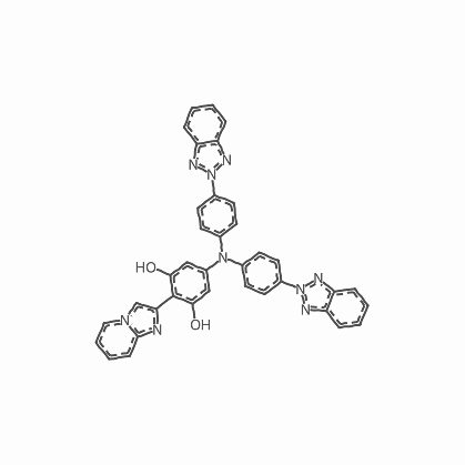 Oc1cc(N(c2ccc(-n3nc4ccccc4n3)cc2)c2ccc(-n3nc4ccccc4n3)cc2)cc(O)c1-c1cn2ccccc2n1